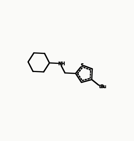 CC(C)(C)c1csc(CNC2CCCCC2)c1